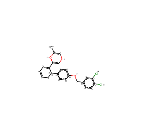 N#CC1=COC=C(C2=CC=CC[C@@H]2c2ccc(OCc3ccc(Cl)c(Cl)c3)cc2)O1